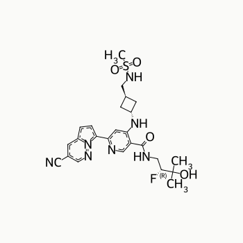 CC(C)(O)[C@H](F)CNC(=O)c1cnc(-c2ccc3cc(C#N)cnn23)cc1N[C@H]1C[C@H](CNS(C)(=O)=O)C1